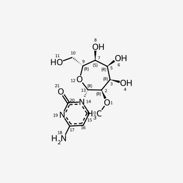 CO[C@@H]1[C@H](O)[C@H](O)[C@H](O)[C@@H](CO)O[C@H]1n1ccc(N)nc1=O